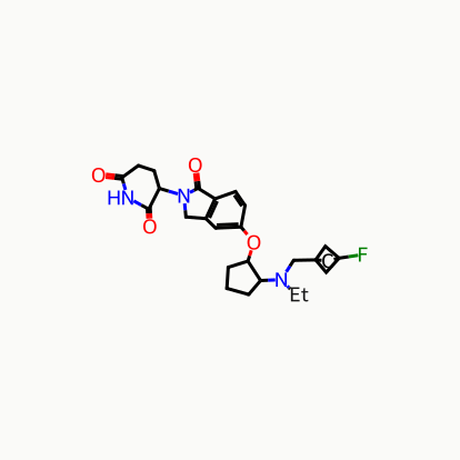 CCN(CC12CC(F)(C1)C2)C1CCCC1Oc1ccc2c(c1)CN(C1CCC(=O)NC1=O)C2=O